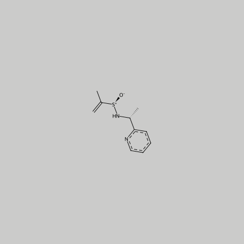 C=C(C)[S@@+]([O-])N[C@H](C)c1ccccn1